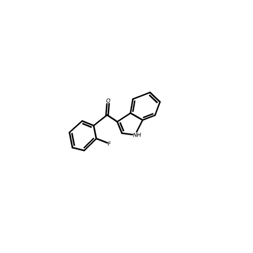 O=C(c1ccccc1F)c1c[nH]c2ccccc12